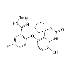 Cc1ccc(Oc2ccc(F)cc2-c2nnn[nH]2)c2c1NC(=O)NC21CCCC1